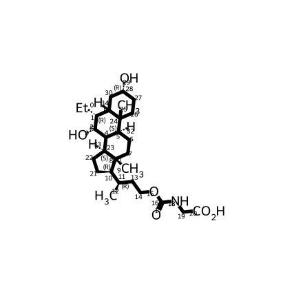 CC[C@H]1[C@@H](O)C2[C@H](CC[C@]3(C)[C@@H]([C@H](C)CCOC(=O)NCC(=O)O)CC[C@@H]23)C2(C)CC[C@@H](O)C[C@@H]12